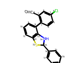 O=Cc1cc(Cl)ccc1-c1cccc2c1NC(c1ccccc1)S2